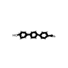 N#Cc1ccc(-c2ccc(-c3ccc(O)cc3)cc2)cc1